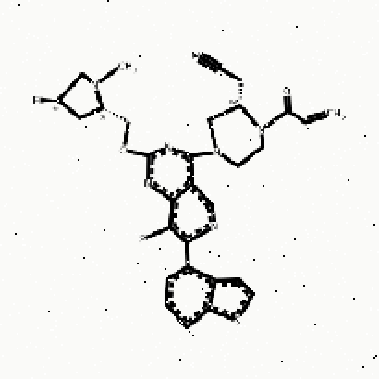 C=CC(=O)N1CCN(c2nc(OC[C@@H]3C[C@@H](F)CN3C)nc3c(F)c(-c4cccc5sccc45)ncc23)C[C@@H]1CC#N